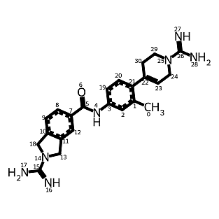 Cc1cc(NC(=O)c2ccc3c(c2)CN(C(=N)N)C3)ccc1C1=CCN(C(=N)N)CC1